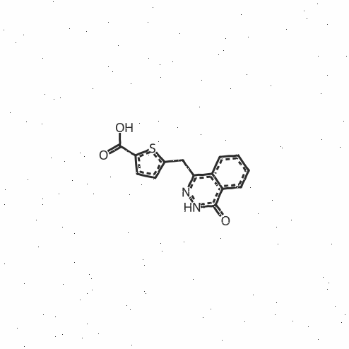 O=C(O)c1ccc(Cc2n[nH]c(=O)c3ccccc23)s1